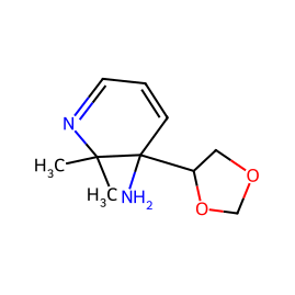 CC1(C)N=CC=CC1(N)C1COCO1